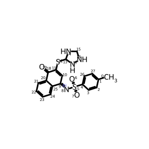 Cc1ccc(S(=O)(=O)/N=C2\C=C(SC3NCNN3)C(=O)c3ccccc32)cc1